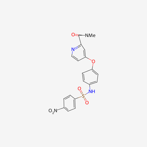 CNC(=O)c1cc(Oc2ccc(NS(=O)(=O)c3ccc([N+](=O)[O-])cc3)cc2)ccn1